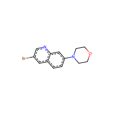 Brc1cnc2cc(N3CCOCC3)ccc2c1